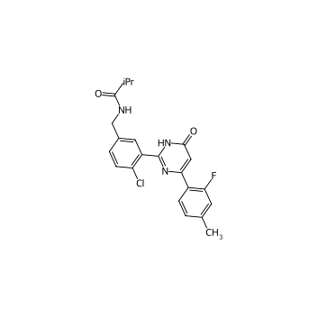 Cc1ccc(-c2cc(=O)[nH]c(-c3cc(CNC(=O)C(C)C)ccc3Cl)n2)c(F)c1